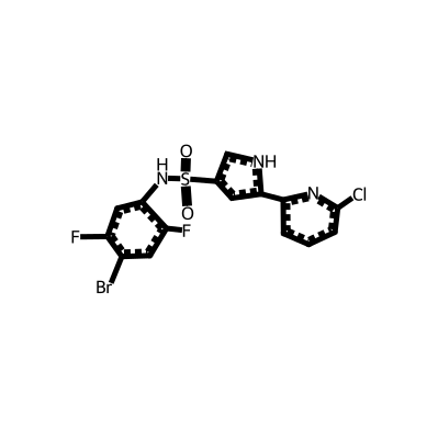 O=S(=O)(Nc1cc(F)c(Br)cc1F)c1c[nH]c(-c2cccc(Cl)n2)c1